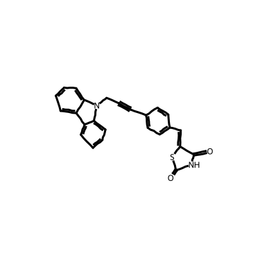 O=C1NC(=O)C(=Cc2ccc(C#CCn3c4ccccc4c4ccccc43)cc2)S1